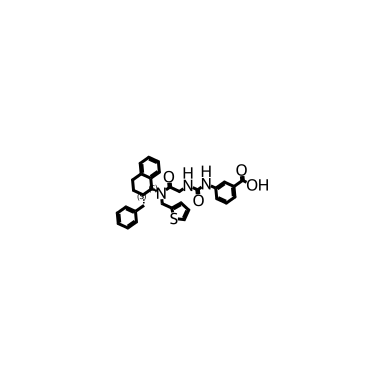 O=C(NCC(=O)N(Cc1cccs1)[C@@H]1c2ccccc2CC[C@H]1Cc1ccccc1)Nc1cccc(C(=O)O)c1